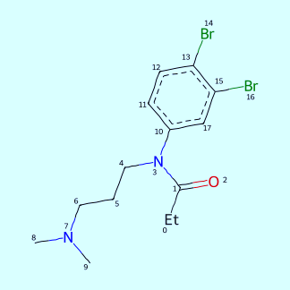 CCC(=O)N(CCCN(C)C)c1ccc(Br)c(Br)c1